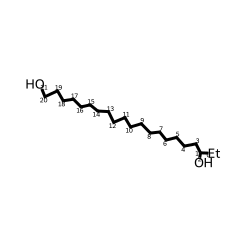 CCC(O)CCCCCCCCCCCCCCCCCCO